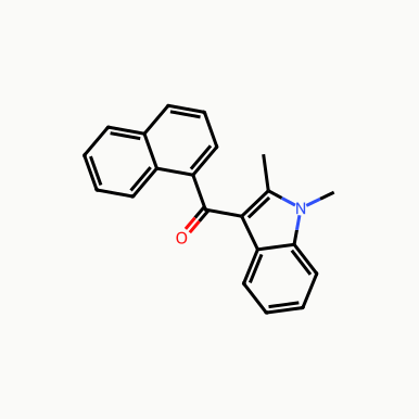 Cc1c(C(=O)c2cccc3ccccc23)c2ccccc2n1C